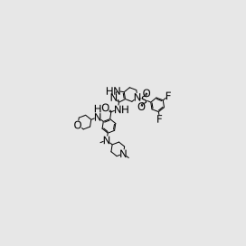 CN1CCC(N(C)c2ccc(C(=O)Nc3n[nH]c4c3CN(S(=O)(=O)c3cc(F)cc(F)c3)CC4)c(NC3CCOCC3)c2)CC1